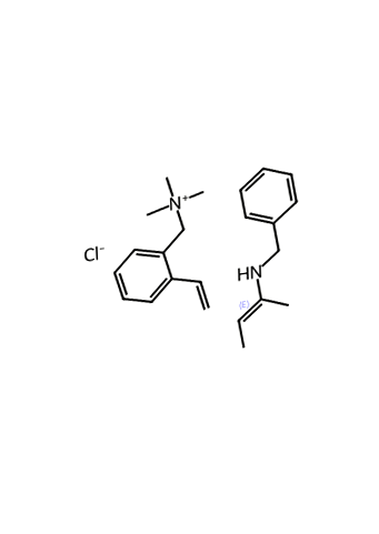 C/C=C(\C)NCc1ccccc1.C=Cc1ccccc1C[N+](C)(C)C.[Cl-]